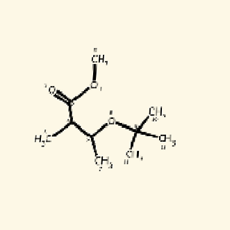 COC(=O)C(C)C(C)OC(C)(C)C